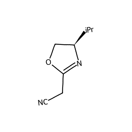 CC(C)[C@@H]1COC(CC#N)=N1